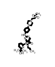 C=CCn1c(=O)c2cnc(Nc3ccc(N4CCN(CCS(C)(=O)=O)CC4)cc3)nc2n1-c1cccc(C(C)(C)O)n1